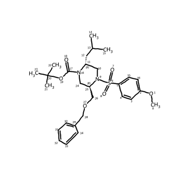 COc1ccc(S(=O)(=O)N2C[C@@H](CC(C)C)N(C(=O)OC(C)(C)C)C[C@@H]2COCc2ccccc2)cc1